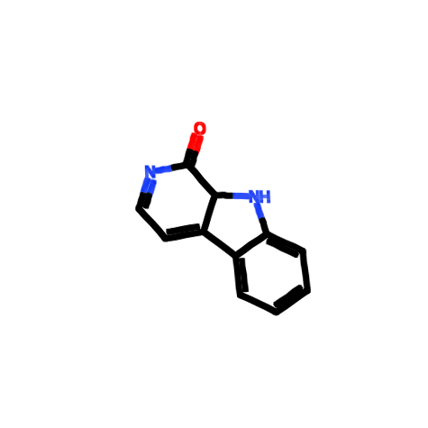 O=C1N=CC=C2c3ccccc3NC12